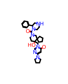 O=C(N1CCC(O)(Cn2cnc(N3CCCC3)cc2=O)C2(CCCC2)C1)N1CCNCC1c1ccccc1